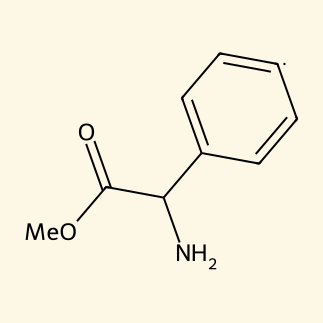 COC(=O)C(N)c1cc[c]cc1